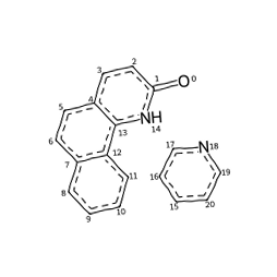 O=c1ccc2ccc3ccccc3c2[nH]1.c1ccncc1